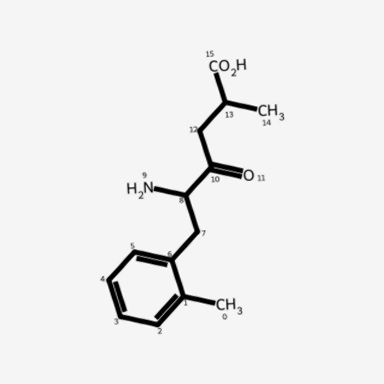 Cc1ccccc1CC(N)C(=O)CC(C)C(=O)O